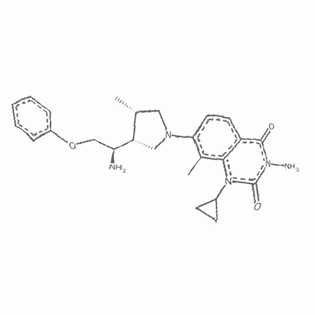 Cc1c(N2C[C@H]([C@@H](N)COc3ccccc3)[C@H](C)C2)ccc2c(=O)n(N)c(=O)n(C3CC3)c12